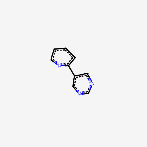 [c]1ncncc1-c1ccccn1